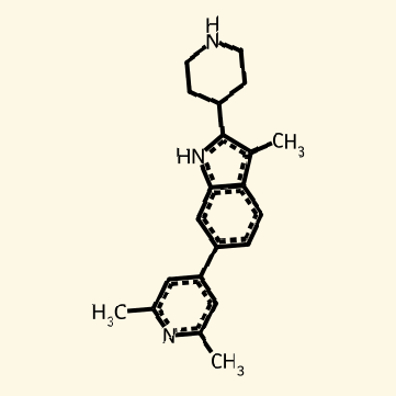 Cc1cc(-c2ccc3c(C)c(C4CCNCC4)[nH]c3c2)cc(C)n1